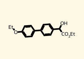 CCOC(=O)C(O)c1ccc(-c2ccc(OCC)cc2)cc1